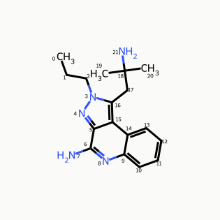 CCCn1nc2c(N)nc3ccccc3c2c1CC(C)(C)N